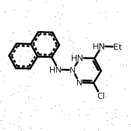 CCNC1=CC(Cl)=NN(Nc2cccc3ccccc23)N1